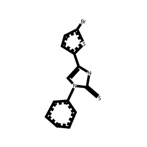 S=C1[N]C(c2ccc(Br)s2)=CN1c1ccccc1